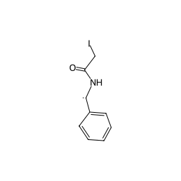 O=C(CI)N[CH]c1ccccc1